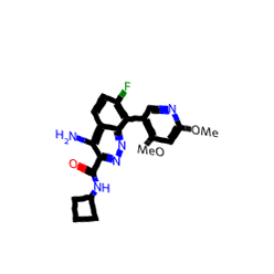 COc1cc(OC)c(-c2c(F)ccc3c(N)c(C(=O)NC4CCC4)nnc23)cn1